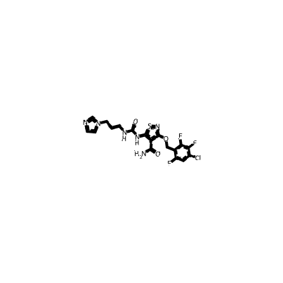 NC(=O)c1c(OCc2c(F)cc(Cl)c(F)c2F)nsc1NC(=O)NCCCn1ccnc1